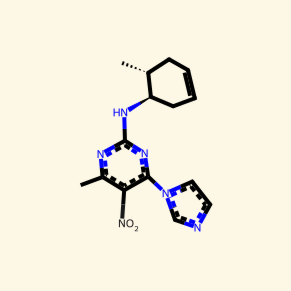 Cc1nc(N[C@@H]2CC=CC[C@H]2C)nc(-n2ccnc2)c1[N+](=O)[O-]